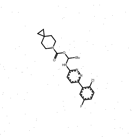 CC(C)(C)C(Nc1ccc(-c2cc(F)ccc2Cl)nn1)OC(=O)N1CCC2(CC1)CC2